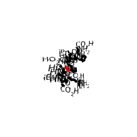 CC[C@H](C)[C@H](NC(=O)[C@H](CO)NC(=O)[C@@H]1CCCN1C(=O)[C@H](CC(C)C)NC(=O)[C@H](CC(=O)O)NC(=O)[C@H](CC(C)C)NC(=O)[C@H](Cc1ccccc1)NC(=O)[C@@H](N)CC(=O)O)C(=O)N[C@@H](CCC(=O)O)C(=O)N[C@@H](CCCNC(=N)N)C(=O)O